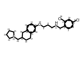 Clc1ccc(CNCCCOc2ccc3c(c2)CCC(CN2CCCC2)C3)c(Cl)c1